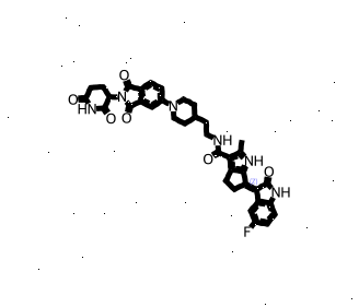 Cc1[nH]c2c(c1C(=O)NCCC1CCN(c3ccc4c(c3)C(=O)N(C3CCC(=O)NC3=O)C4=O)CC1)CC/C2=C1/C(=O)Nc2ccc(F)cc21